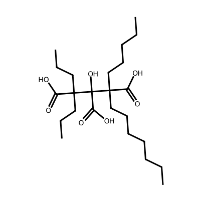 CCCCCCCC(CCCCC)(C(=O)O)C(O)(C(=O)O)C(CCC)(CCC)C(=O)O